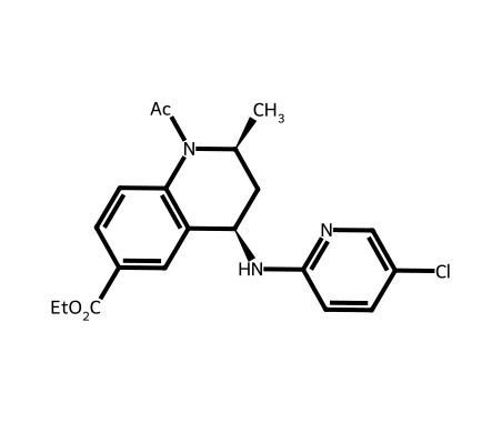 CCOC(=O)c1ccc2c(c1)[C@H](Nc1ccc(Cl)cn1)C[C@H](C)N2C(C)=O